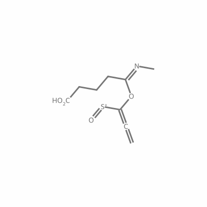 C=C=C(O/C(CCCC(=O)O)=N\C)[S+]=O